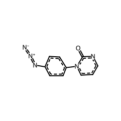 [N-]=[N+]=Nc1ccc(-n2cccnc2=O)cc1